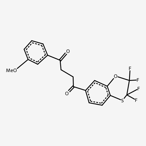 COc1cccc(C(=O)CCC(=O)c2ccc3c(c2)OC(F)(F)C(F)(F)S3)c1